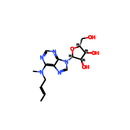 CC=CCN(C)c1ncnc2c1ncn2[C@@H]1O[C@H](CO)[C@@H](O)[C@H]1O